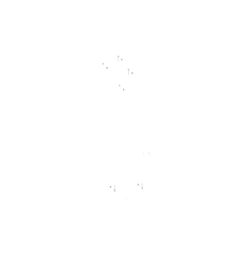 Clc1nsnc1Oc1ccc(-n2cnnn2)cc1